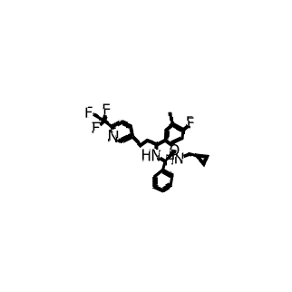 Cc1cc(C(CCc2ccc(C(F)(F)F)nc2)NC(C(=O)NCC2CC2)c2ccccc2)ccc1F